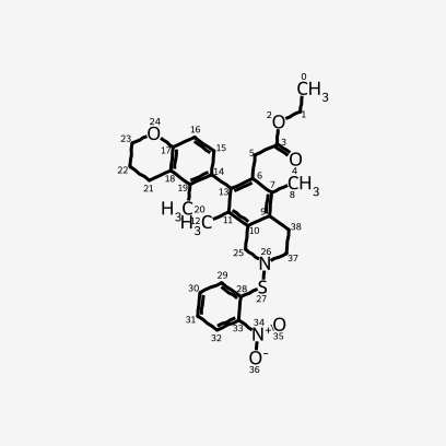 CCOC(=O)Cc1c(C)c2c(c(C)c1-c1ccc3c(c1C)CCCO3)CN(Sc1ccccc1[N+](=O)[O-])CC2